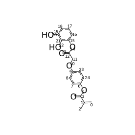 C=C(C)C(=O)Oc1ccc(OCC(=O)Oc2cccc(O)c2O)cc1